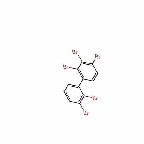 Brc1cccc(-c2ccc(Br)c(Br)c2Br)c1Br